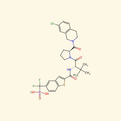 CC(C)(C)[C@H](NC(=O)c1cc2cc(C(F)(F)P(=O)(O)O)ccc2s1)C(=O)N1CCC[C@H]1C(=O)N1CCc2ccc(Cl)cc2C1